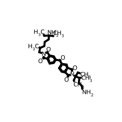 CCC(N)(CC)CCCC(C)CN1C(=O)c2ccc(C(=O)c3ccc4c(c3)C(=O)N(C(CC)(CC)C(C)CCCN)C4=O)cc2C1=O